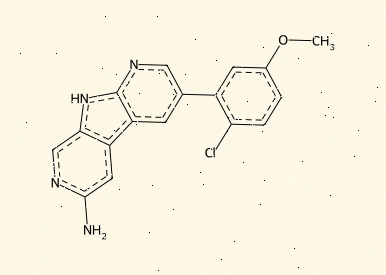 COc1ccc(Cl)c(-c2cnc3[nH]c4cnc(N)cc4c3c2)c1